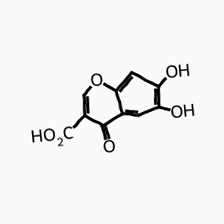 O=C(O)c1coc2cc(O)c(O)cc2c1=O